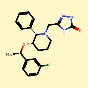 C[C@@H](O[C@H]1CCCN(Cc2n[nH]c(=O)[nH]2)[C@H]1c1ccccc1)c1cccc(Cl)c1